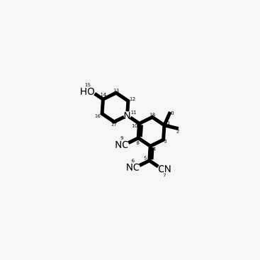 CC1(C)CC(=C(C#N)C#N)C(C#N)=C(N2CCC(O)CC2)C1